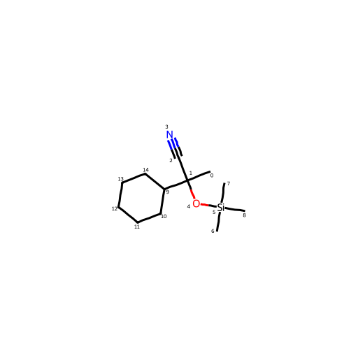 CC(C#N)(O[Si](C)(C)C)C1CCCCC1